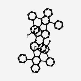 Fc1cccc(-c2ccccc2-c2c3c(c(-c4ccccc4)c4ccccc24)-c2ccc4c5ccc6c7c(ccc(c8ccc-3c2c84)c75)-c2c-6c(-c3ccccc3-c3cc(F)cc(F)c3)c3ccccc3c2-c2ccccc2)c1